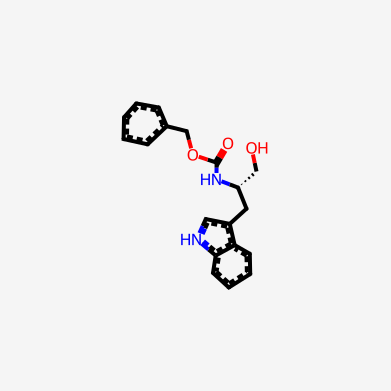 O=C(N[C@H](CO)Cc1c[nH]c2ccccc12)OCc1ccccc1